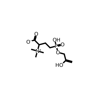 C=C(O)COP(=O)(O)CCC(C(=O)[O-])[N+](C)(C)C